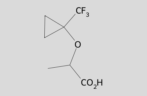 CC(OC1(C(F)(F)F)CC1)C(=O)O